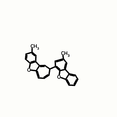 Cc1ccc2oc3c(c2c1)=CC(c1cc(C)cc2c1oc1ccccc12)C=CC=3